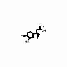 C=C(O)CC1(c2ccc(Cl)c(O)c2)CC1